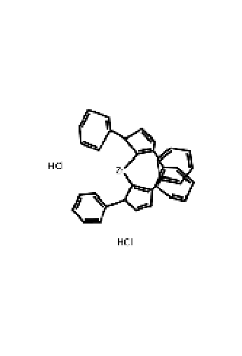 C1=CC(c2ccccc2)[C]([Zr][C]2=C(c3ccccc3)C=CC2c2ccccc2)=C1c1ccccc1.Cl.Cl